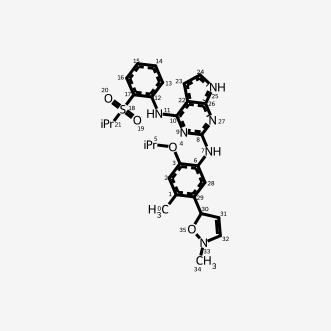 Cc1cc(OC(C)C)c(Nc2nc(Nc3ccccc3S(=O)(=O)C(C)C)c3cc[nH]c3n2)cc1C1C=CN(C)O1